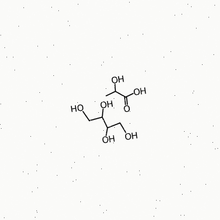 CC(O)C(=O)O.OCC(O)C(O)CO